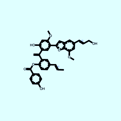 C=C(c1cc(-c2cc3cc(/C=C/CO)cc(OC)c3o2)c(OC)cc1O)c1cc(/C=C/C)ccc1OC(=O)c1ccc(O)cc1